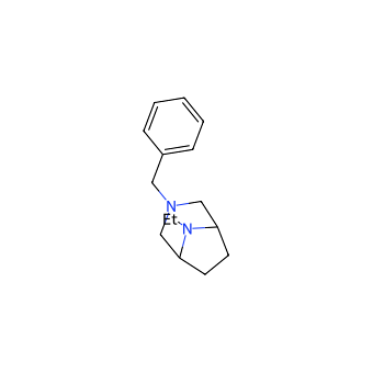 CCN1C2CCC1CN(Cc1ccccc1)C2